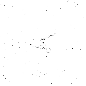 C=CCCCN1CC(N2CCOCC2)[N+]([O-])(c2nnc(CCCCCC)s2)C1